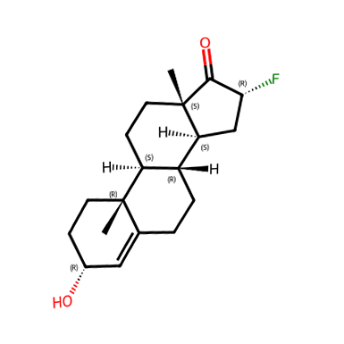 C[C@]12CC[C@@H](O)C=C1CC[C@@H]1[C@@H]2CC[C@]2(C)C(=O)[C@H](F)C[C@@H]12